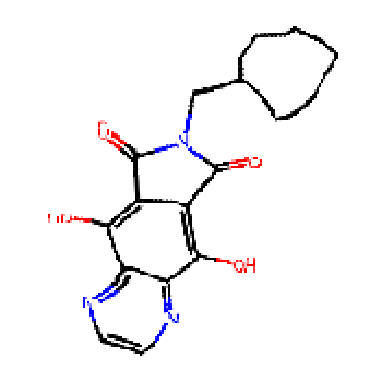 O=C1c2c(c(O)c3nccnc3c2O)C(=O)N1CC1CCCCC1